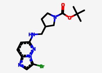 CC(C)(C)OC(=O)N1CCC(CNc2ccc3ncc(Br)n3n2)C1